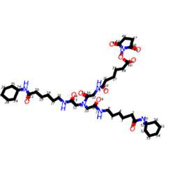 O=C(CCCCCNC(=O)CN(CC(=O)NCCCCCC(=O)NC1CCCCC1)C(=O)CNC(=O)CCCCC(=O)ON1C(=O)CCC1=O)N=C1CCCCC1